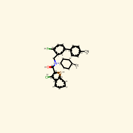 CC[C@H]1CC[C@H](N(Cc2cc(-c3ccc(C#N)cc3)ccc2F)C(=O)c2sc3ccccc3c2Cl)CC1